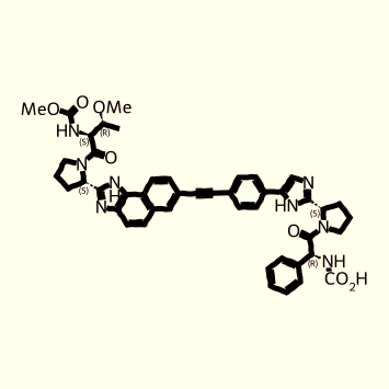 COC(=O)N[C@H](C(=O)N1CCC[C@H]1c1nc2ccc3cc(C#Cc4ccc(-c5cnc([C@@H]6CCCN6C(=O)[C@H](NC(=O)O)c6ccccc6)[nH]5)cc4)ccc3c2[nH]1)[C@@H](C)OC